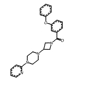 O=C(c1cccc(Oc2ccccc2)c1)N1CC(N2CCN(c3ccccn3)CC2)C1